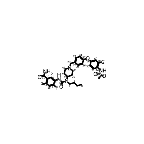 CCCCN(C(=O)Nc1cc(C(N)=O)c(F)cc1F)C1CCN(Cc2ccc(Oc3ccc(NS(C)(=O)=O)c(Cl)c3)cc2)CC1